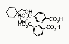 O=C(O)c1ccc(C(=O)O)cc1.O=C(O)c1cccc(C(=O)O)c1.OCC1(CO)CCCCC1